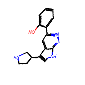 Oc1ccccc1-c1cc2c(C3CCNC3)c[nH]c2nn1